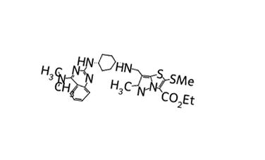 CCOC(=O)c1c(SC)sc2c(CNC[C@H]3CC[C@@H](Nc4nc(N(C)C)c5ccccc5n4)CC3)c(C)nn12